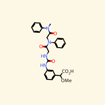 COC(C(=O)O)c1cccc(NC(=O)NCC(=O)N(CC(=O)N(C)c2ccccc2)c2ccccc2)c1